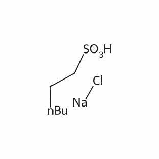 CCCCCCS(=O)(=O)O.[Na][Cl]